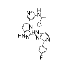 C=C(Nc1cncc(-c2ccc3[nH]nc(-c4nc5c(-c6ccc(F)cc6)nccc5[nH]4)c3n2)c1)C1CCC1